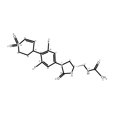 CC(=O)NC[C@H]1CN(c2cc(F)c(C3C=CS(=O)(=O)CC3)c(F)c2)C(=O)O1